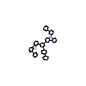 c1ccc(-c2ccc(-c3cc(-c4ccc5c(c4)c4ccccc4n5-c4cccc(-c5ccccc5)c4)cc(-c4cccc5c4oc4c(-c6ccccc6)cccc45)c3)cc2)cc1